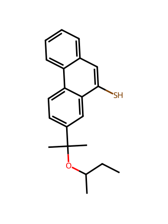 CCC(C)OC(C)(C)c1ccc2c(c1)c(S)cc1ccccc12